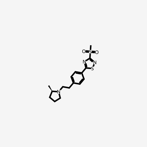 C[C@@H]1CCCN1CCc1ccc(-c2nc(S(C)(=O)=O)ns2)cc1